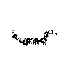 FC12CC(CNCc3ccc4nc(Cn5cc(-c6cncc(N7CCC(C(F)(F)F)C7)c6)nn5)cn4c3)(C1)C2